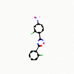 O=[N+]([O-])c1ccc(-c2noc(-c3ccccc3Cl)n2)c(Cl)c1